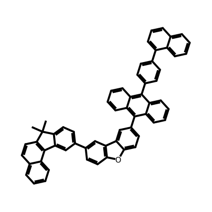 CC1(C)c2ccc(-c3ccc4oc5ccc(-c6c7ccccc7c(-c7ccc(-c8cccc9ccccc89)cc7)c7ccccc67)cc5c4c3)cc2-c2c1ccc1ccccc21